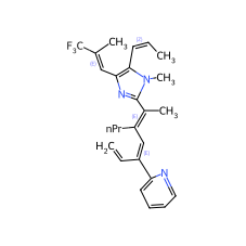 C=C/C(=C\C(CCC)=C(/C)c1nc(/C=C(\C)C(F)(F)F)c(/C=C\C)n1C)c1ccccn1